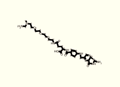 CN(CN)CCOCCOCCOCCNC(=O)CCC(NC(=O)C1C=CC(NCC2=NC3C(=O)NC(N)=NC3N=C2)CC1)C(=O)O